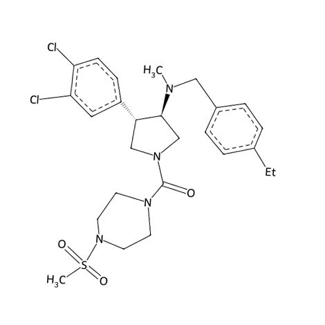 CCc1ccc(CN(C)[C@H]2CN(C(=O)N3CCN(S(C)(=O)=O)CC3)C[C@@H]2c2ccc(Cl)c(Cl)c2)cc1